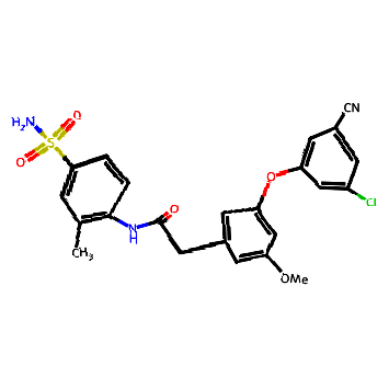 COc1cc(CC(=O)Nc2ccc(S(N)(=O)=O)cc2C)cc(Oc2cc(Cl)cc(C#N)c2)c1